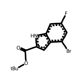 CC(C)(C)OC(=O)c1cc2c(Br)cc(F)cc2[nH]1